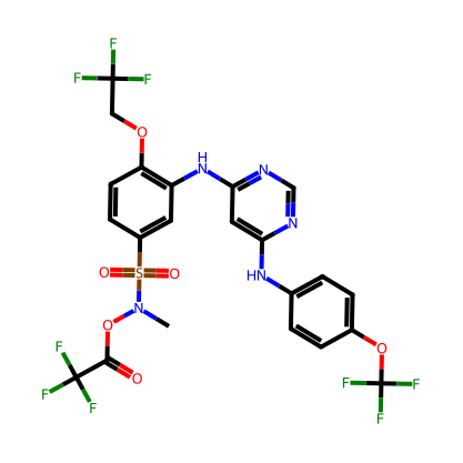 CN(OC(=O)C(F)(F)F)S(=O)(=O)c1ccc(OCC(F)(F)F)c(Nc2cc(Nc3ccc(OC(F)(F)F)cc3)ncn2)c1